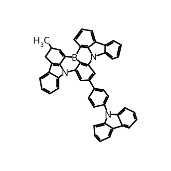 CC1C=C2B3c4c(cc(-c5ccc(-n6c7ccccc7c7ccccc76)cc5)cc4-n4c5ccccc5c5cccc3c54)-n3c2c(c2ccccc23)C1